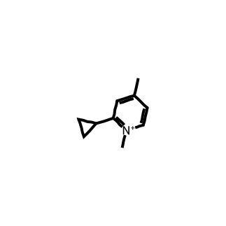 Cc1cc[n+](C)c(C2CC2)c1